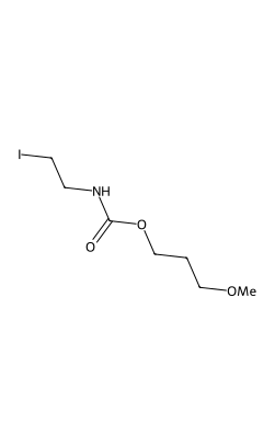 COCCCOC(=O)NCCI